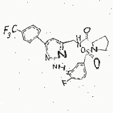 Nc1nc(CNC(=O)[C@@H]2CCCN2S(=O)(=O)c2ccc(F)cc2)cc(-c2ccc(C(F)(F)F)cc2)n1